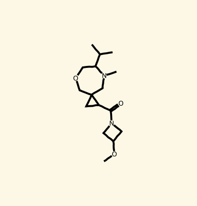 COC1CN(C(=O)C2CC23COCC(C(C)C)N(C)C3)C1